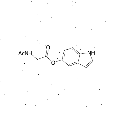 CC(=O)NCC(=O)Oc1ccc2[nH]ccc2c1